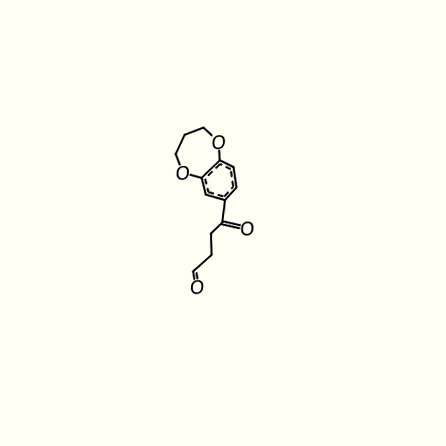 O=CCCC(=O)c1ccc2c(c1)OCCCO2